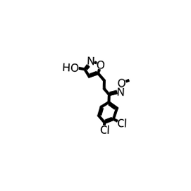 CO/N=C(\CCc1cc(O)no1)c1ccc(Cl)c(Cl)c1